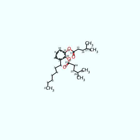 CCCCCCCc1cccc(OC(=O)CCC(C)C)c1OC(=O)CCC(C)C